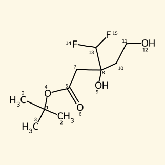 CC(C)(C)OC(=O)CC(O)(CCO)C(F)F